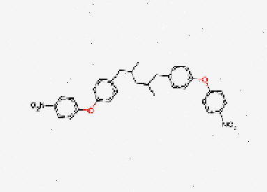 CC(Cc1ccc(Oc2ccc([N+](=O)[O-])cc2)cc1)CC(C)Cc1ccc(Oc2ccc([N+](=O)[O-])cc2)cc1